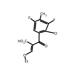 CCO/C=C(\C(=O)O)C(=O)c1cc(F)c(C)c(F)c1Cl